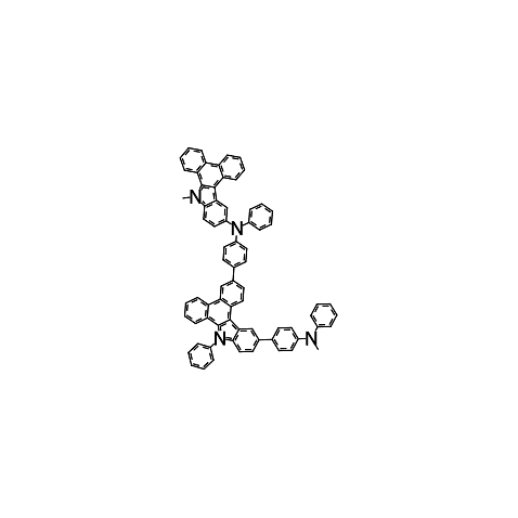 CN(c1ccccc1)c1ccc(-c2ccc3c(c2)c2c4ccc(-c5ccc(N(c6ccccc6)c6ccc7c(c6)c6c8ccccc8c8ccccc8c6n7C)cc5)cc4c4ccccc4c2n3-c2ccccc2)cc1